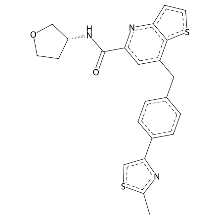 Cc1nc(-c2ccc(Cc3cc(C(=O)N[C@@H]4CCOC4)nc4ccsc34)cc2)cs1